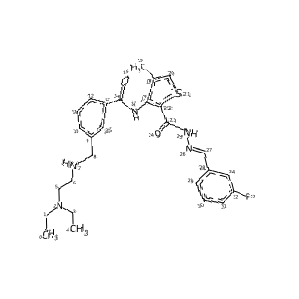 CCN(CC)CCNCc1cccc(C(=O)Nc2c(C)csc2C(=O)NN=Cc2cccc(F)c2)c1